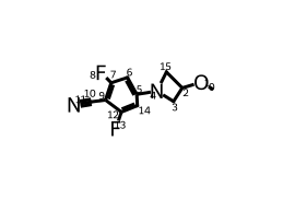 COC1CN(c2cc(F)c(C#N)c(F)c2)C1